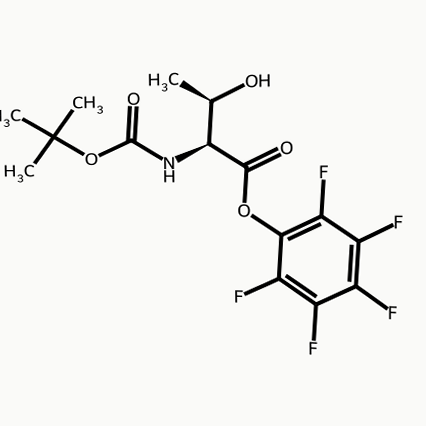 C[C@@H](O)[C@H](NC(=O)OC(C)(C)C)C(=O)Oc1c(F)c(F)c(F)c(F)c1F